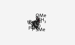 COc1ccc(CN(c2nn(CC(F)(F)F)c3c(NC(=O)c4sc(SC)nc4NC(=O)[C@H](Cc4cc(F)cc(F)c4)NC(=O)OC(C)(C)C)ccc(Cl)c23)S(C)(=O)=O)cc1